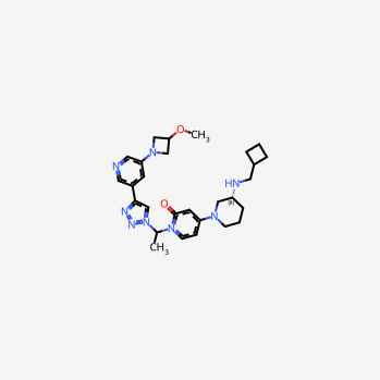 COC1CN(c2cncc(-c3cn(C(C)n4ccc(N5CCC[C@@H](NCC6CCC6)C5)cc4=O)nn3)c2)C1